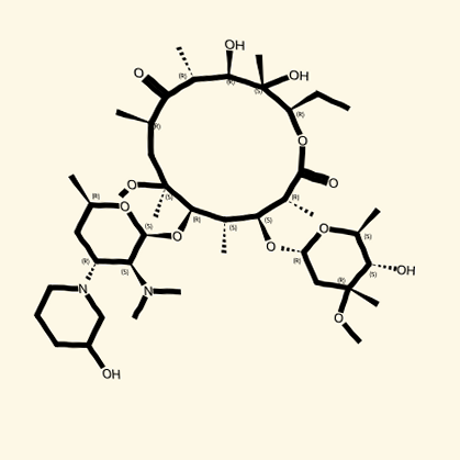 CC[C@H]1OC(=O)[C@H](C)[C@@H](O[C@H]2C[C@@](C)(OC)[C@@H](O)[C@H](C)O2)[C@H](C)[C@@H](O[C@@H]2O[C@H](C)C[C@@H](N3CCCC(O)C3)[C@@H]2N(C)C)[C@@](C)(OC)C[C@@H](C)C(=O)[C@H](C)[C@@H](O)[C@]1(C)O